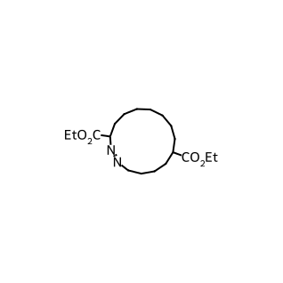 CCOC(=O)C1CCCCCCCC(C(=O)OCC)N=NCCCC1